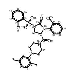 Cc1ccc(C)c(N2CCN(C(=O)[C@@H]3CN(S(=O)(=O)c4ccccc4Cl)C(=O)N3c3ccccc3Cl)CC2)c1